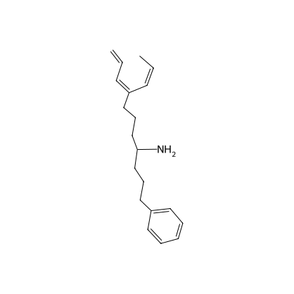 C=C/C=C(\C=C/C)CCCC(N)CCCc1ccccc1